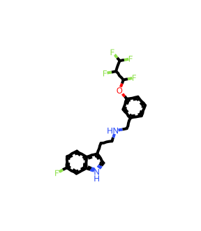 Fc1ccc2c(CCNCc3cccc(OC(F)C(F)C(F)F)c3)c[nH]c2c1